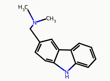 CN(C)Cc1ccc2[nH]c3ccccc3c2c1